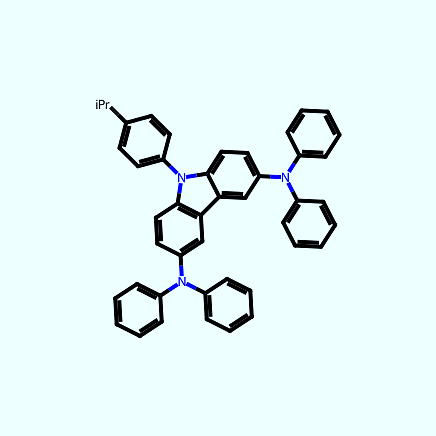 CC(C)c1ccc(-n2c3ccc(N(c4ccccc4)c4ccccc4)cc3c3cc(N(c4ccccc4)c4ccccc4)ccc32)cc1